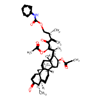 C=C(C(=O)[C@H](OC(C)=O)[C@@H](C)[C@H]1[C@@H](OC(C)=O)C[C@@]2(C)[C@@H]3CC[C@H]4[C@H](C)C(=O)C=C[C@@]45C[C@@]35CC[C@]12C)[C@@H](C)COC(=O)Nc1ccccc1